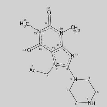 CC(=O)Cn1c(N2CCNCC2)nc2c1c(=O)n(C)c(=O)n2C